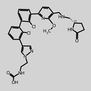 COc1nc(-c2cccc(-c3cccc(-c4cnn(CCNC(=O)O)c4)c3Cl)c2Cl)ccc1CNC[C@@H]1CCC(=O)N1